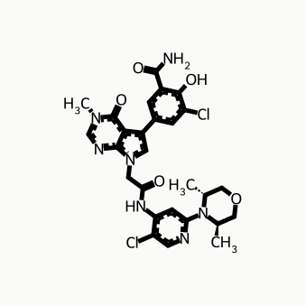 C[C@@H]1COC[C@@H](C)N1c1cc(NC(=O)Cn2cc(-c3cc(Cl)c(O)c(C(N)=O)c3)c3c(=O)n(C)cnc32)c(Cl)cn1